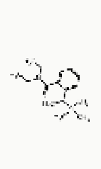 CCN(CC)C(=O)c1ccccc1C(C)[Si](C)(C)C